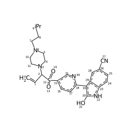 C=CC(N1CCN(CCC(C)C)CC1)S(=O)(=O)c1ccc(-c2c(O)[nH]c3ccc(C#N)cc23)nc1